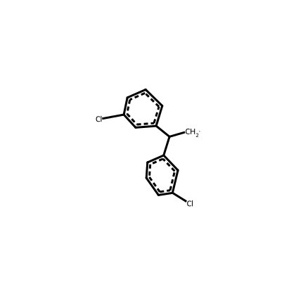 [CH2]C(c1cccc(Cl)c1)c1cccc(Cl)c1